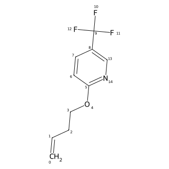 C=CCCOc1ccc(C(F)(F)F)cn1